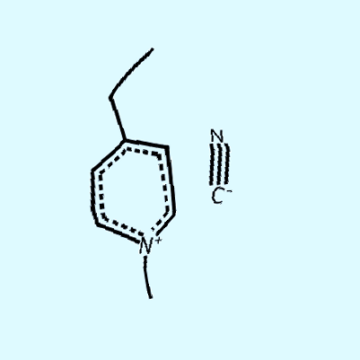 CCc1cc[n+](C)cc1.[C-]#N